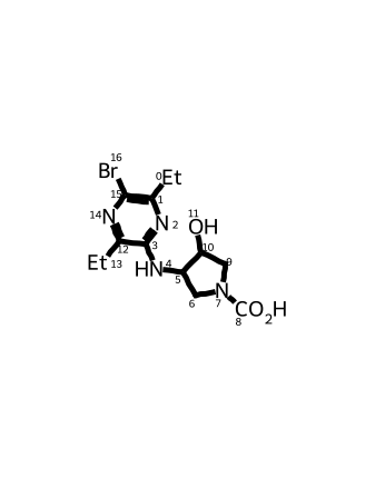 CCc1nc(NC2CN(C(=O)O)CC2O)c(CC)nc1Br